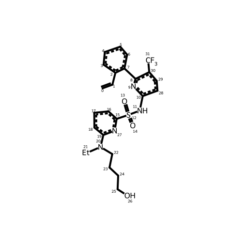 C=Cc1ccccc1-c1nc(NS(=O)(=O)c2cccc(N(CC)CCCCO)n2)ccc1C(F)(F)F